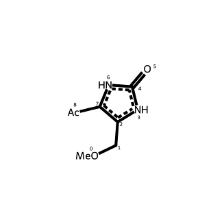 COCc1[nH]c(=O)[nH]c1C(C)=O